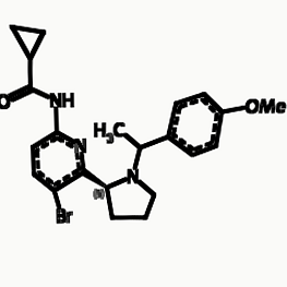 COc1ccc(C(C)N2CCC[C@H]2c2nc(NC(=O)C3CC3)ccc2Br)cc1